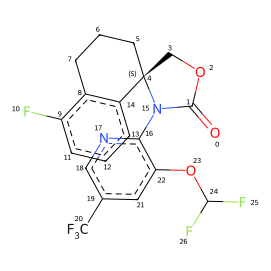 O=C1OC[C@@]2(CCCc3c(F)cccc32)N1c1ncc(C(F)(F)F)cc1OC(F)F